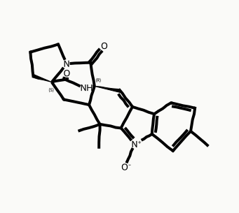 Cc1ccc2c(c1)[N+]([O-])=C1C2=C[C@@]23NC(=O)[C@]4(CCCN4C2=O)CC3C1(C)C